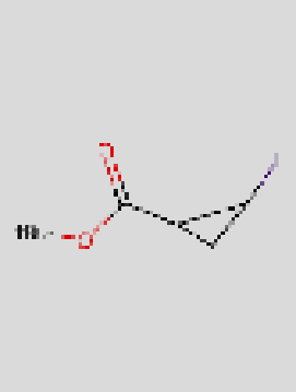 CC(C)(C)OC(=O)C1CC1I